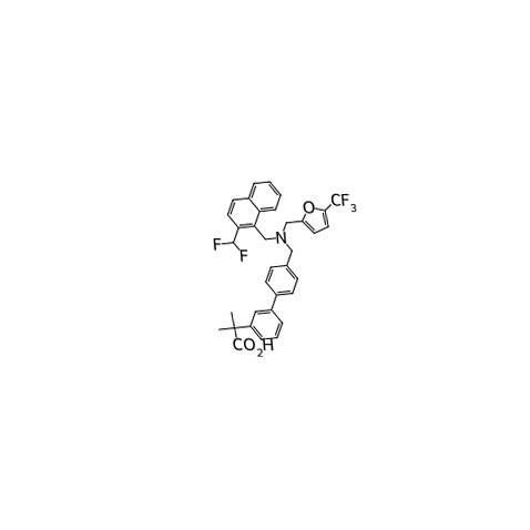 CC(C)(C(=O)O)c1cccc(-c2ccc(CN(Cc3ccc(C(F)(F)F)o3)Cc3c(C(F)F)ccc4ccccc34)cc2)c1